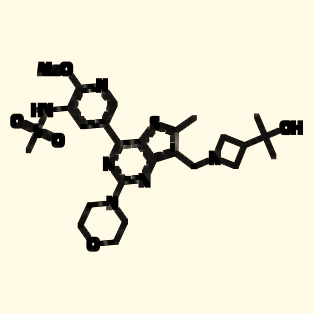 COc1ncc(-c2nc(N3CCOCC3)nc3c(CN4CC(C(C)(C)O)C4)c(C)sc23)cc1NS(C)(=O)=O